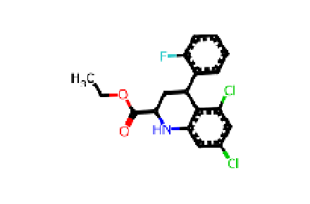 CCOC(=O)C1CC(c2ccccc2F)c2c(Cl)cc(Cl)cc2N1